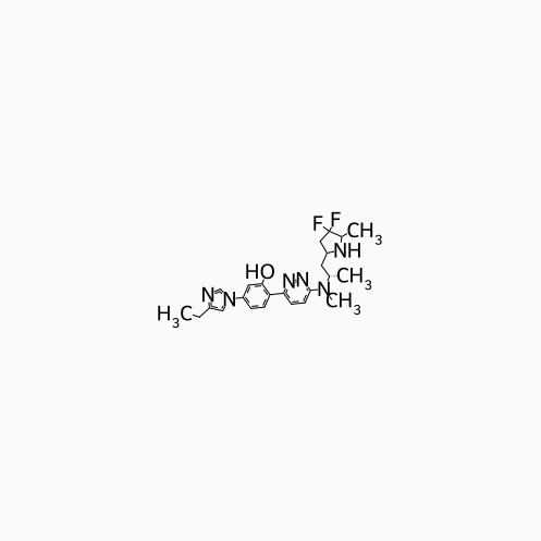 CCc1cn(-c2ccc(-c3ccc(N(C)[C@@H](C)CC4CC(F)(F)C(C)N4)nn3)c(O)c2)cn1